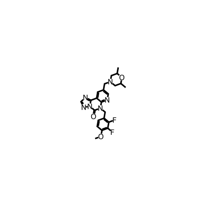 COc1ccc(Cn2c(=O)n3ncnc3c3cc(CN4CC(C)OC(C)C4)cnc32)c(F)c1F